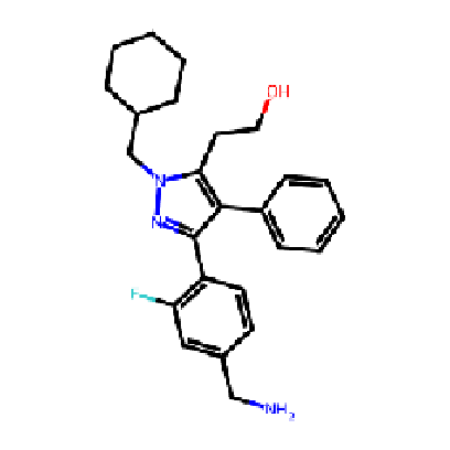 NCc1ccc(-c2nn(CC3CC[CH]CC3)c(CCO)c2-c2ccccc2)c(F)c1